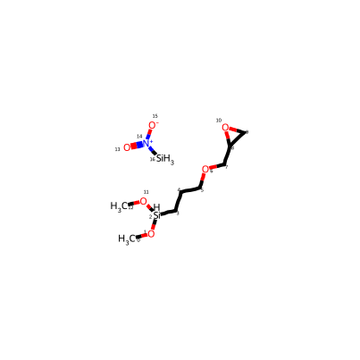 CO[SiH](CCCOCC1CO1)OC.O=[N+]([O-])[SiH3]